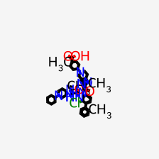 Cc1ccccc1C1=CC=CC(NC(=O)c2nc3c(n2C)CCN(C2CCCCC2)C3)(NC(=O)c2nc3c(n2C)CCN(C2CCC(C)(C(=O)O)CC2)C3)C1Cl